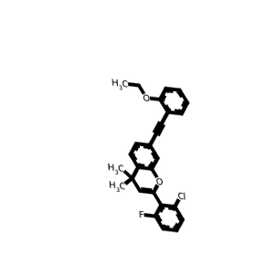 CCOc1ccccc1C#Cc1ccc2c(c1)OC(c1c(F)cccc1Cl)=CC2(C)C